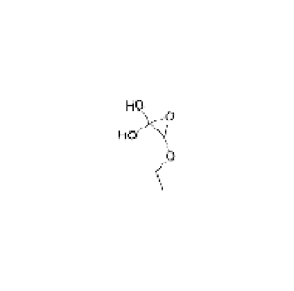 CCOC1OC1(O)O